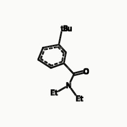 CCN(CC)C(=O)c1cccc(C(C)(C)C)c1